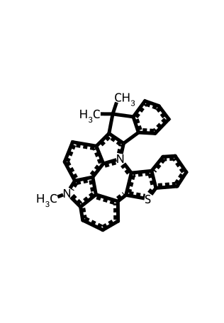 Cn1c2cccc3c4sc5ccccc5c4n4c5c(c6ccc1c(c32)c64)C(C)(C)c1ccccc1-5